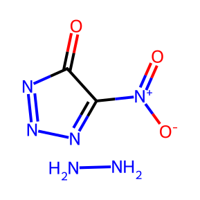 NN.O=C1N=NN=C1[N+](=O)[O-]